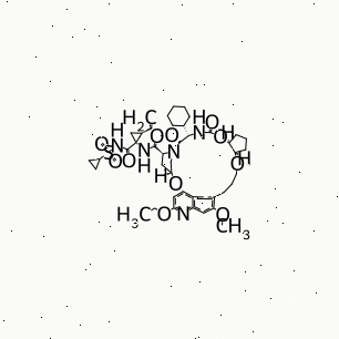 C=C[C@@H]1C[C@]1(NC(=O)[C@@H]1C[C@@H]2CN1C(=O)[C@H](C1CCCCC1)NC(=O)O[C@H]1CCC[C@@H]1OCCCc1cc3c(cc(OCC)nc3cc1OC)O2)C(=O)NS(=O)(=O)C1CC1